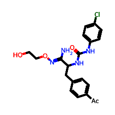 CC(=O)c1ccc(CC(NC(=O)Nc2ccc(Cl)cc2)C(N)=NOCCO)cc1